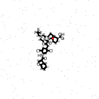 O=C(Nc1cc(Cl)c(CC(=O)C(O[C@H]2CC[C@H](C(=O)O)CC2)(N2CCCC2)N2CCN(CC(F)(F)F)CC2)cc1Cl)c1coc2ccccc12